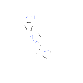 COc1ccnc(C2([CH]c3ccc(-c4ccc5cn[nH]c5c4)nn3)CCC2)c1